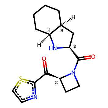 O=C(c1nccs1)[C@@H]1CCN1C(=O)[C@@H]1C[C@@H]2CCCC[C@@H]2N1